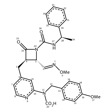 CON=C[C@@H]1[C@@H](Cc2ccnc(N(Cc3ccc(OC)cc3)C(=O)O)c2)C(=O)N1C(=O)N[C@H](C)c1ccccc1